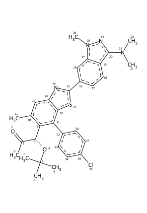 CC(=O)[C@@H](OC(C)(C)C)c1c(C)cc2nc(-c3ccc4c(N(C)C)nn(C)c4c3)sc2c1-c1ccc(Cl)cc1